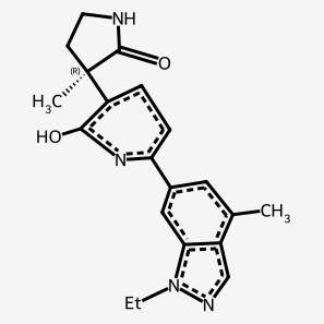 CCn1ncc2c(C)cc(-c3ccc([C@@]4(C)CCNC4=O)c(O)n3)cc21